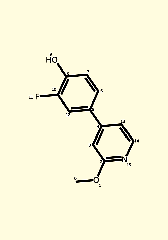 COc1cc(-c2ccc(O)c(F)c2)ccn1